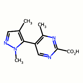 Cc1cnn(C)c1-c1cnc(C(=O)O)nc1C